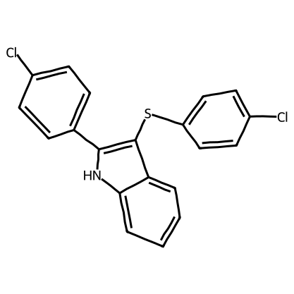 Clc1ccc(Sc2c(-c3ccc(Cl)cc3)[nH]c3ccccc23)cc1